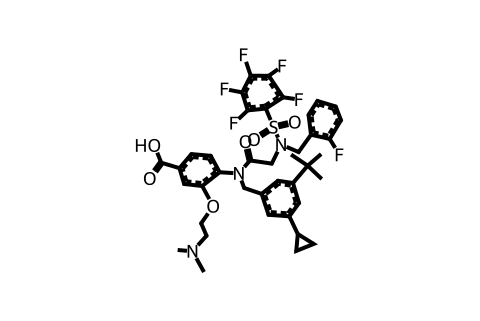 CN(C)CCOc1cc(C(=O)O)ccc1N(Cc1cc(C2CC2)cc(C(C)(C)C)c1)C(=O)CN(Cc1ccccc1F)S(=O)(=O)c1c(F)c(F)c(F)c(F)c1F